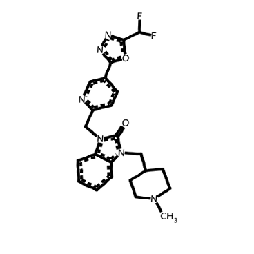 CN1CCC(Cn2c(=O)n(Cc3ccc(-c4nnc(C(F)F)o4)cn3)c3ccccc32)CC1